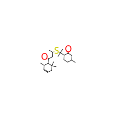 CC1CCC(C(C)(C)SC(C)CC(=O)C2C(C)C=CCC2(C)C)C(=O)C1